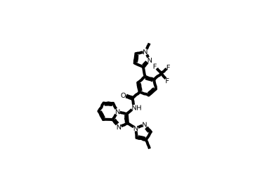 Cc1cnn(-c2nc3ccccn3c2NC(=O)c2ccc(C(F)(F)F)c(-c3ccn(C)n3)c2)c1